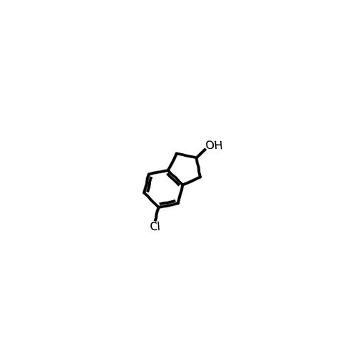 OC1Cc2ccc(Cl)cc2C1